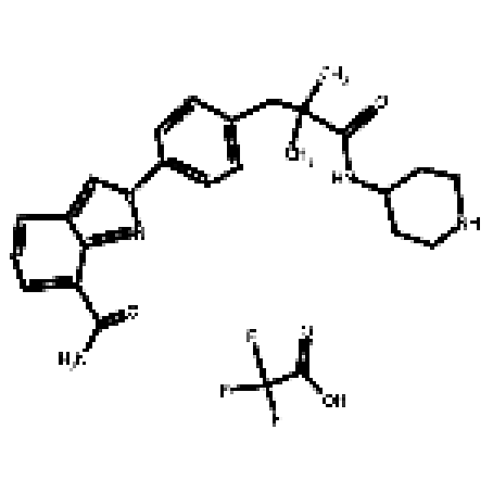 CC(C)(Cc1ccc(-n2cc3cccc(C(N)=O)c3n2)cc1)C(=O)NC1CCNCC1.O=C(O)C(F)(F)F